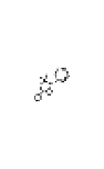 CC12CC(=O)OC1c1ccccc1C2